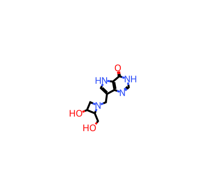 O=c1[nH]cnc2c(CN3CC(O)C3CO)c[nH]c12